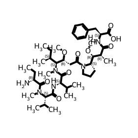 CC[C@@H](N)C(=O)N(C)[C@H](C(=O)N[C@H](C(=O)N(C)[C@@H]([C@@H](C)CC)[C@@H](CC(=O)N1CCC[C@H]1[C@H](OC)[C@@H](C)C(=O)N[C@@H](Cc1ccccc1)C(=O)O)OC)C(C)C)C(C)C